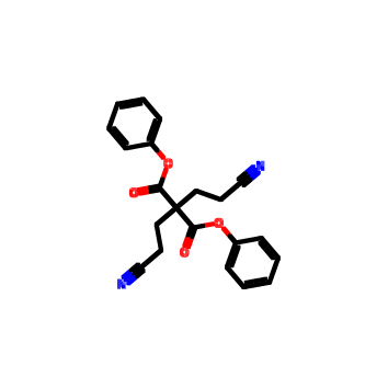 N#CCCC(CCC#N)(C(=O)Oc1ccccc1)C(=O)Oc1ccccc1